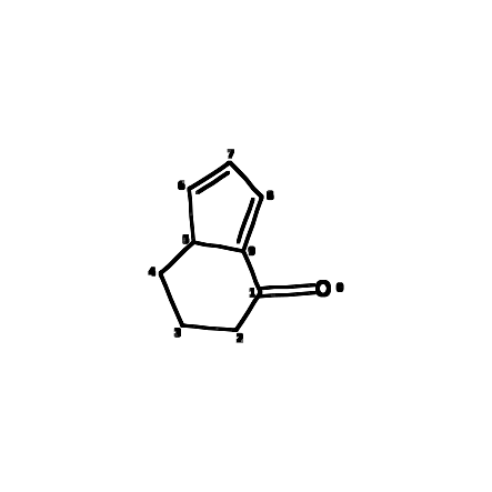 O=C1CCCC2C=CC=C12